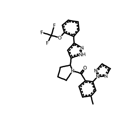 Cc1ccc(C(=O)N2CCCC2c2cc(-c3ccccc3OC(F)(F)F)n[nH]2)c(-n2nccn2)c1